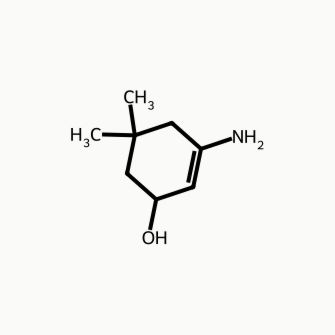 CC1(C)CC(N)=CC(O)C1